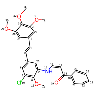 COc1cc(C=Cc2cc(Cl)c(OC)c(N/C=C\C(=O)c3ccccc3)c2)cc(OC)c1OC